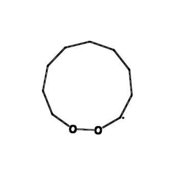 [CH]1CCCCCCCCOO1